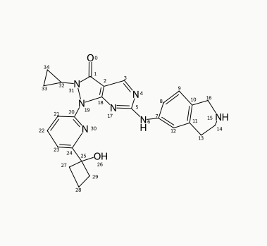 O=c1c2cnc(Nc3ccc4c(c3)CCNC4)nc2n(-c2cccc(C3(O)CCC3)n2)n1C1CC1